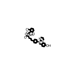 O=C(NC(CC=Cc1ccc(N(Cc2ccc(O)cc2)c2ncccn2)cc1)C(=O)O)c1c(Cl)cccc1Cl